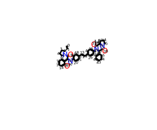 C=C[C@@H]1CCCN1C(=O)C(c1ccccc1)N(C=O)c1ccc(/C=C/c2ccc(N3C(=O)[C@@H]4CCCN4C(=O)C3c3ccccc3)cc2)cc1